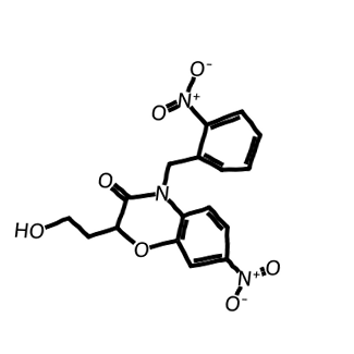 O=C1C(CCO)Oc2cc([N+](=O)[O-])ccc2N1Cc1ccccc1[N+](=O)[O-]